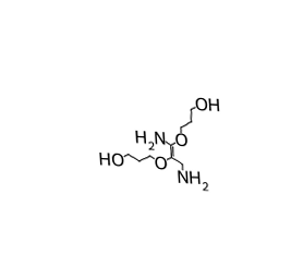 NCC(OCCCO)=C(N)OCCCO